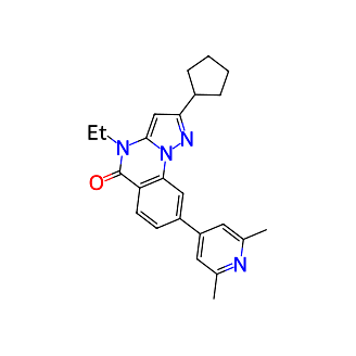 CCn1c(=O)c2ccc(-c3cc(C)nc(C)c3)cc2n2nc(C3CCCC3)cc12